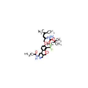 CC(=O)Nc1cc2c(cn1)COc1c-2ccc(OCC(CC(C)C)NC(=O)OC(C)(C)C)c1C(F)F